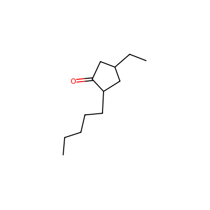 CCCCCC1CC(CC)CC1=O